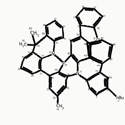 CCCCc1ccc(N2c3cc4oc5ccccc5c4cc3B3c4c(cc(C)cc42)-c2cccc4c2N3c2ccccc2C4(C)C)c(-c2ccccc2)c1